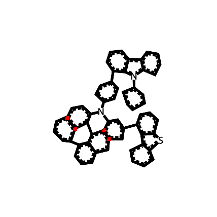 c1ccc(-c2cccc3cccc(-c4ccccc4N(c4ccc(-c5cccc6c7ccccc7n(-c7ccccc7)c56)cc4)c4cccc(-c5cccc6sc7ccccc7c56)c4)c23)cc1